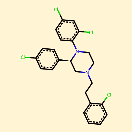 Clc1ccc([C@@H]2CN(CCc3ccccc3Cl)CCN2c2ccc(Cl)cc2Cl)cc1